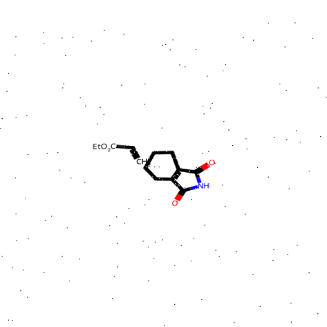 C=CC(=O)OCC.O=C1NC(=O)C2=C1CCCC2